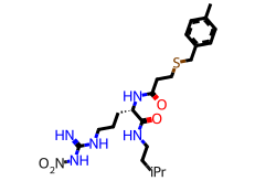 Cc1ccc(CSCCC(=O)N[C@@H](CCCNC(=N)N[N+](=O)[O-])C(=O)NCCC(C)C)cc1